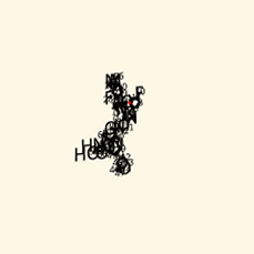 C[C@H]1c2c(nn(-c3ccc(F)cc3)c2-n2ccn(-c3ccc4c(cnn4C)c3F)c2=O)CCN1C(=O)c1cn2cc([C@@H]3CCOC(C)(C)C3)ccc2c1C1(C2=NOC(O)N2)CC1